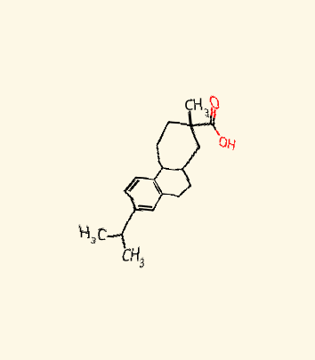 CC(C)c1ccc2c(c1)CCC1CC(C)(C(=O)O)CCC21